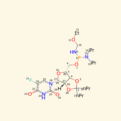 CCCC1(CCC)OC2[C@@H](COP(NCOCC)N(C(C)C)C(C)C)O[C@@H](n3cc(F)c(=O)[nH]c3=O)[C@H]2O1